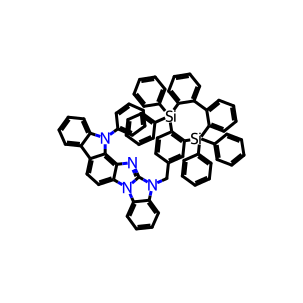 c1ccc(-n2c3ccccc3c3ccc4c(nc5n(Cc6ccc7c(c6)[Si](c6ccccc6)(c6ccccc6)c6ccccc6-c6ccccc6[Si]7(c6ccccc6)c6ccccc6)c6ccccc6n45)c32)cc1